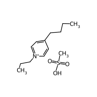 CCCCc1cc[n+](CCC)cc1.CS(=O)(=O)O